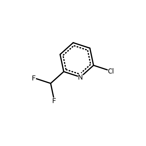 FC(F)c1cccc(Cl)n1